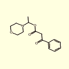 CC(OC(=O)CC(=O)c1ccccc1)N1CCOCC1